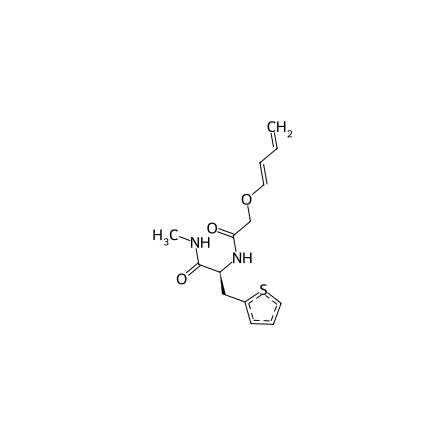 C=C/C=C/OCC(=O)N[C@@H](Cc1cccs1)C(=O)NC